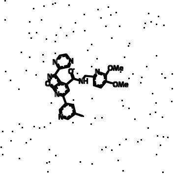 COc1ccc(CNC(=O)c2cc(-c3cncc(C)c3)nc3onc(-c4cnccn4)c23)nc1OC